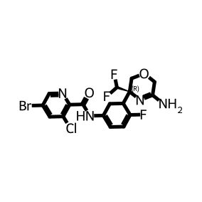 NC1=N[C@](C(F)F)(C2CC(NC(=O)c3ncc(Br)cc3Cl)=CC=C2F)COC1